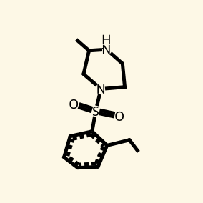 CCc1ccccc1S(=O)(=O)N1CCNC(C)C1